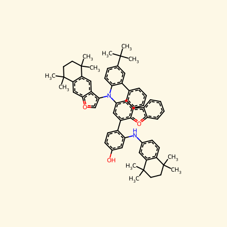 CC(C)(C)c1ccc(N(c2cc(-c3ccc(O)cc3Nc3ccc4c(c3)C(C)(C)CCC4(C)C)c3oc4ccccc4c3c2)c2coc3cc4c(cc23)C(C)(C)CCC4(C)C)c(-c2ccccc2)c1